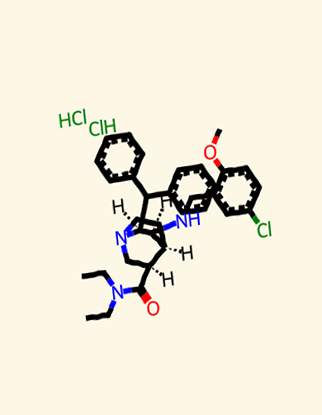 CCN(CC)C(=O)[C@H]1CN2CC[C@@H]1[C@H](NCc1cc(Cl)ccc1OC)[C@@H]2C(c1ccccc1)c1ccccc1.Cl.Cl